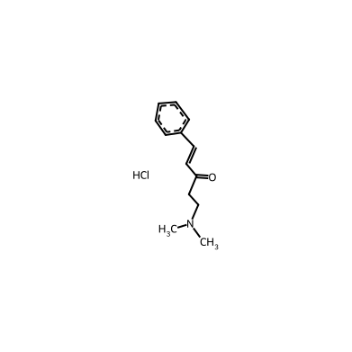 CN(C)CCC(=O)/C=C/c1ccccc1.Cl